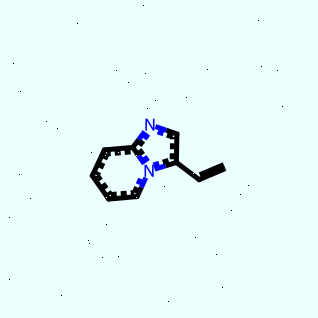 C=Cc1cnc2ccccn12